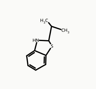 CC(C)C1Nc2ccccc2S1